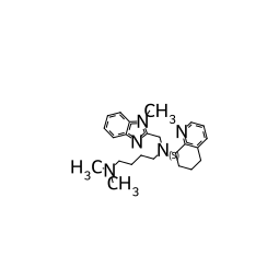 CN(C)CCCCN(Cc1nc2ccccc2n1C)[C@H]1CCCc2cccnc21